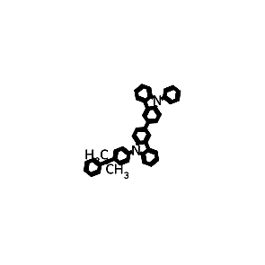 CC(C)(c1ccccc1)c1ccc(-n2c3ccccc3c3cc(-c4ccc5c(c4)c4ccccc4n5-c4ccccc4)ccc32)cc1